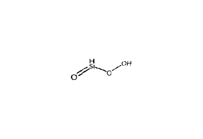 O=[SiH]OO